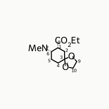 CCOC(=O)[C@@H]1CC2(CC[C@@H]1NC)OCCO2